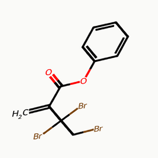 C=C(C(=O)Oc1ccccc1)C(Br)(Br)CBr